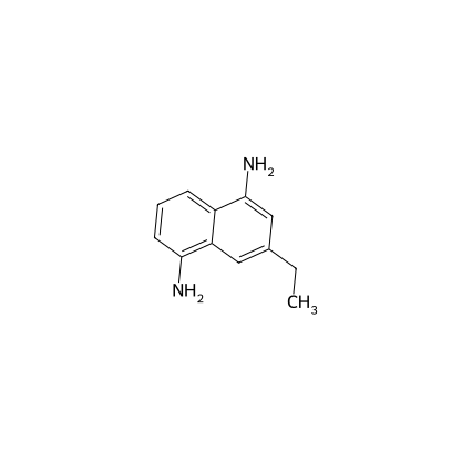 CCc1cc(N)c2cccc(N)c2c1